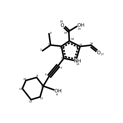 CC(C)c1c(C#CC2(O)CCCCC2)[nH]c(C=O)c1C(=O)O